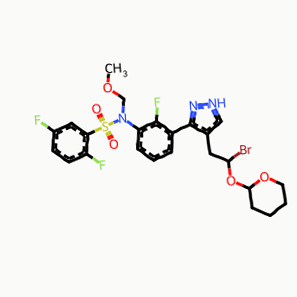 COCN(c1cccc(-c2n[nH]cc2CC(Br)OC2CCCCO2)c1F)S(=O)(=O)c1cc(F)ccc1F